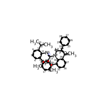 CC(C)c1cccc(C(C)C)c1/N=C(\c1ccccc1)N(CC(=O)c1ccccc1)c1c(C(C)C)cccc1C(C)C